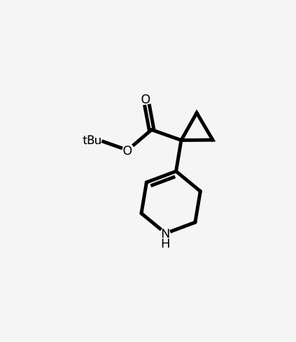 CC(C)(C)OC(=O)C1(C2=CCNCC2)CC1